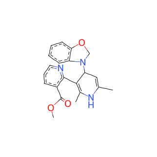 COC(=O)c1cccnc1C1=C(C)NC(C)=CC1N1COc2ccccc21